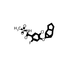 CS(=O)(=O)NC(=O)c1cc(Cl)c(OC2CC3CC2C2CCCC32)cc1F